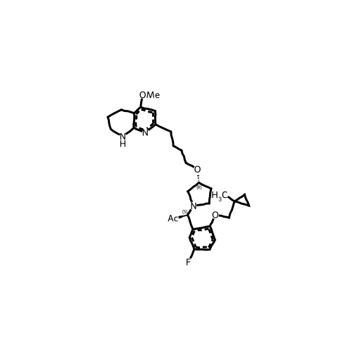 COc1cc(CCCCO[C@@H]2CCN([C@H](C(C)=O)c3cc(F)ccc3OCC3(C)CC3)C2)nc2c1CCCN2